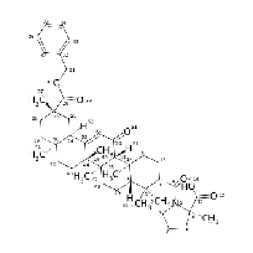 CC1(C)[C@@H](C(=O)N2CCC[C@]2(C)C(=O)O)CC[C@]2(C)[C@H]3C(=O)C=C4[C@@H]5C[C@@](C)(C(=O)OCc6ccccc6)CC[C@]5(C)CC[C@@]4(C)[C@]3(C)CC[C@@H]12